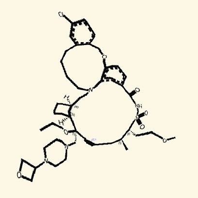 CCO[C@]1(CN2CCN(C3COC3)CC2)/C=C/C[C@H](C)[C@@H](CCOC)S(=O)(=O)NC(=O)c2ccc3c(c2)N(CCCCc2cc(Cl)ccc2CO3)C[C@@H]2CC[C@@H]21